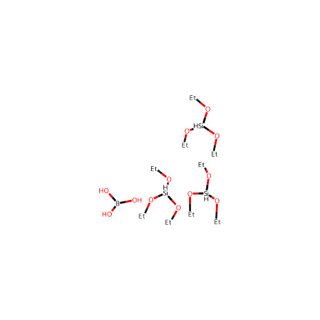 CCO[SiH](OCC)OCC.CCO[SiH](OCC)OCC.CCO[SiH](OCC)OCC.OB(O)O